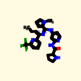 CC/C=C(/N=C(/Nc1ccnc(NC(=O)C2CCCN2)c1)c1cccn1C)c1cccc(C(F)(F)F)n1